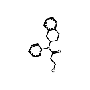 O=C(CCCl)N(c1ccccc1)C1CCc2ccccc2C1